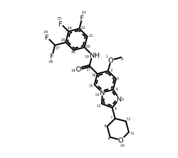 COc1cc2nc(C3CCOCC3)cn2cc1C(=O)Nc1cc(F)c(F)c(C(F)F)c1